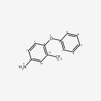 Nc1ccc(Oc2cc[c]cc2)c(C(F)(F)F)c1